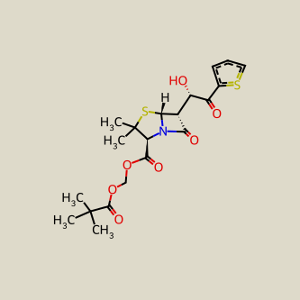 CC(C)(C)C(=O)OCOC(=O)[C@@H]1N2C(=O)[C@@H]([C@H](O)C(=O)c3cccs3)[C@H]2SC1(C)C